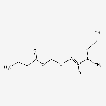 CCCC(=O)OCON=[N+]([O-])N(C)CCO